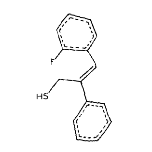 Fc1ccccc1C=C(CS)c1ccccc1